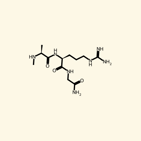 CN[C@@H](C)C(=O)N[C@@H](CCCNC(=N)N)C(=O)NCC(N)=O